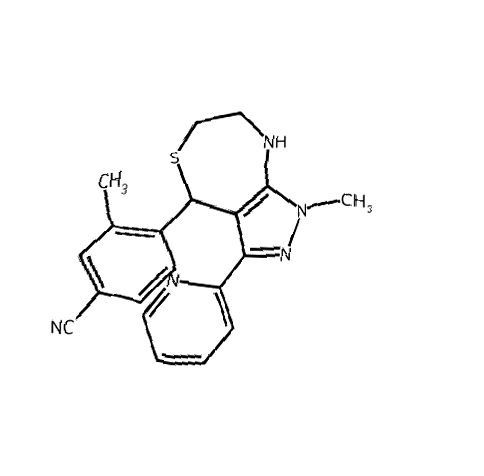 Cc1cc(C#N)ccc1C1SCCNc2c1c(-c1ccccn1)nn2C